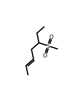 C/C=C/CC(CC)S(C)(=O)=O